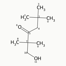 CC(C)(C)CC(=O)C(C)(C)CO